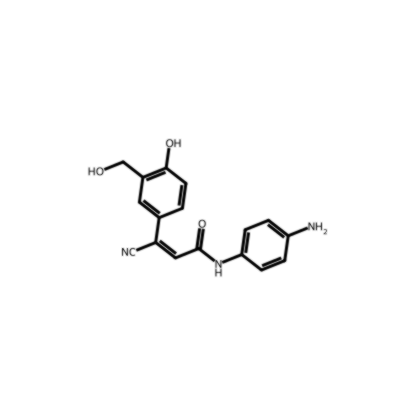 N#C/C(=C/C(=O)Nc1ccc(N)cc1)c1ccc(O)c(CO)c1